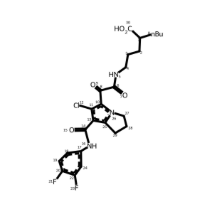 CCCCC(CCCNC(=O)C(=O)c1c(Cl)c(C(=O)Nc2ccc(F)c(F)c2)c2n1CCC2)C(=O)O